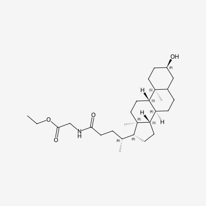 CCOC(=O)CNC(=O)CC[C@@H](C)[C@H]1CC[C@H]2[C@@H]3CCC4C[C@H](O)CC[C@]4(C)[C@H]3CC[C@]12C